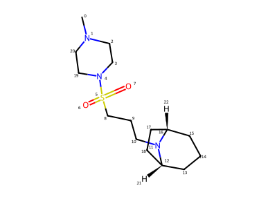 CN1CCN(S(=O)(=O)CCCN2[C@@H]3C[CH]C[C@H]2CC3)CC1